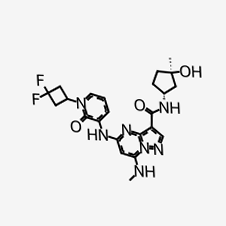 CNc1cc(Nc2cccn(C3CC(F)(F)C3)c2=O)nc2c(C(=O)N[C@@H]3CC[C@@](C)(O)C3)cnn12